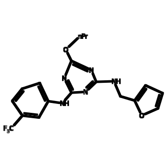 CCCOc1nc(NCc2ccco2)nc(Nc2cccc(C(F)(F)F)c2)n1